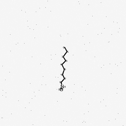 CCCCCCCCCN=O